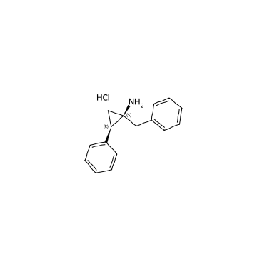 Cl.N[C@]1(Cc2ccccc2)C[C@@H]1c1ccccc1